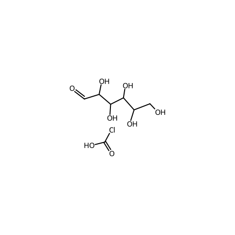 O=C(O)Cl.O=CC(O)C(O)C(O)C(O)CO